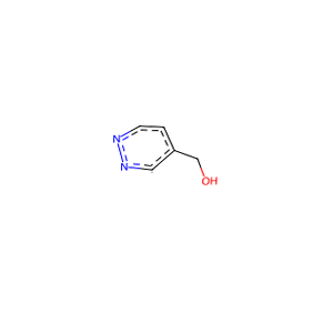 OCc1[c]nncc1